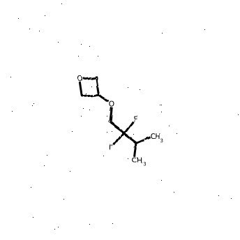 CC(C)C(F)(F)COC1COC1